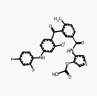 Cc1ccc(C(=O)Nc2cscc2OC(=O)O)cc1C(=O)c1ccc(Nc2ccc(F)cc2F)cc1Cl